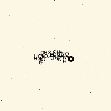 O=C(Nc1nc(I)nc2c1ncn2[C@@H]1O[C@H](COC(O[PH](=O)O)C(=O)O)[C@@H](O)[C@H]1O)c1ccccc1